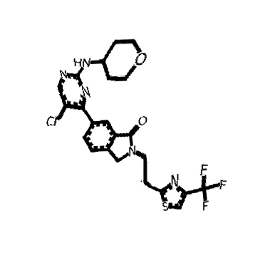 O=C1c2cc(-c3nc(NC4CCOCC4)ncc3Cl)ccc2CN1C[CH]c1nc(C(F)(F)F)cs1